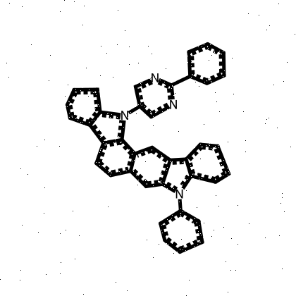 c1ccc(-c2ncc(-n3c4ccccc4c4ccc5cc6c(cc5c43)c3ccccc3n6-c3ccccc3)cn2)cc1